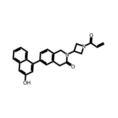 C=CC(=O)N1CC(N2Cc3ccc(-c4cc(O)cc5ccccc45)cc3CC2=O)C1